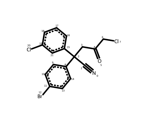 N#CC(CC(=O)CCl)(c1ccc(Br)cc1)c1cccc(Cl)c1